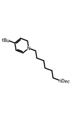 CCCCCCCCCCCCCCCCN1C=CC(C(C)(C)C)=CC1